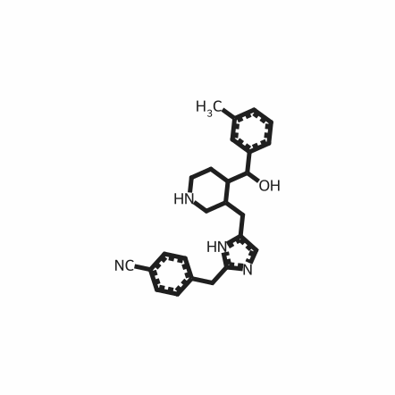 Cc1cccc(C(O)C2CCNCC2Cc2cnc(Cc3ccc(C#N)cc3)[nH]2)c1